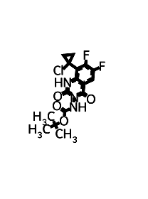 CC(C)(C)OC(=O)Nn1c(=O)[nH]c2c(C3(Cl)CC3)c(F)c(F)cc2c1=O